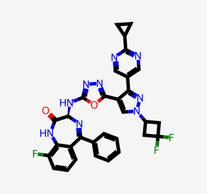 O=C1Nc2c(F)cccc2C(c2ccccc2)=N[C@@H]1Nc1nnc(-c2cn(C3CC(F)(F)C3)nc2-c2cnc(C3CC3)nc2)o1